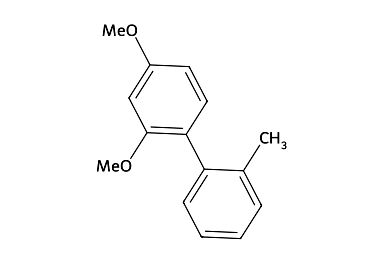 COc1ccc(-c2ccccc2C)c(OC)c1